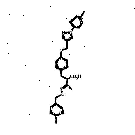 C/C(=N\OCc1ccc(C)cc1)C(Cc1ccc(OCc2cnn(-c3ccc(C)cc3)c2)cc1)C(=O)O